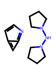 C1CCN(NN2CCCC2)C1.c1cc2cc-2n1